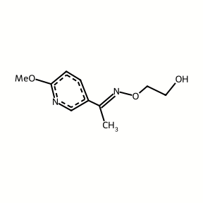 COc1ccc(C(C)=NOCCO)cn1